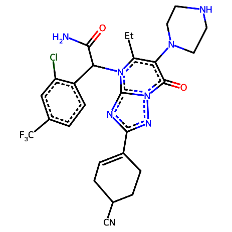 CCc1c(N2CCNCC2)c(=O)n2nc(C3=CCC(C#N)CC3)nc2n1C(C(N)=O)c1ccc(C(F)(F)F)cc1Cl